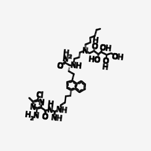 CCCCCCN(CCCN[C@H](CCc1ccc(CCCCNC(=N)NC(=O)c2nc(Cl)c(C)nc2N)c2ccccc12)C(N)=O)CC(O)C(O)C(O)C(O)CO